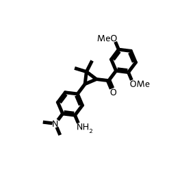 COc1ccc(OC)c(C(=O)C2C(c3ccc(N(C)C)c(N)c3)C2(C)C)c1